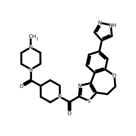 CN1CCN(C(=O)C2CCN(C(=O)c3nc4c(s3)CCOc3cc(-c5cn[nH]c5)ccc3-4)CC2)CC1